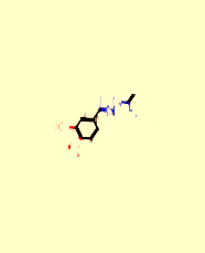 C=C(N)N/N=C/c1ccc(OC)c(O)c1